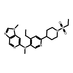 CCc1cc(C2CCN(S(=O)(=O)CC)CC2)ncc1N(C)c1cc2c(cn1)ncn2C